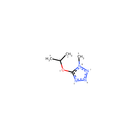 CC(C)Oc1nnnn1C